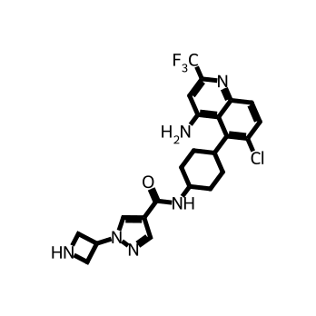 Nc1cc(C(F)(F)F)nc2ccc(Cl)c(C3CCC(NC(=O)c4cnn(C5CNC5)c4)CC3)c12